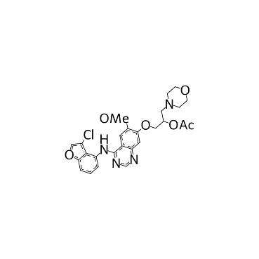 COc1cc2c(Nc3cccc4occ(Cl)c34)ncnc2cc1OCC(CN1CCOCC1)OC(C)=O